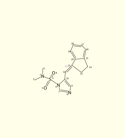 CN(C)S(=O)(=O)n1cncc1/C=C1\CCc2ccccc21